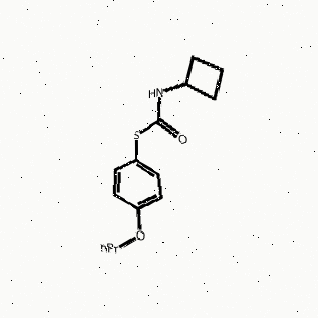 CCCOc1ccc(SC(=O)NC2CCC2)cc1